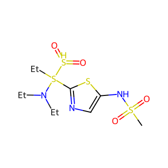 CCN(CC)S(CC)(c1ncc(NS(C)(=O)=O)s1)[SH](=O)=O